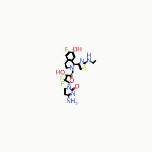 CCNc1nc(C2c3cc(O)c(F)cc3CCN2C[C@H]2O[C@@H](n3ccc(N)nc3=O)C(F)(F)[C@@H]2O)cs1